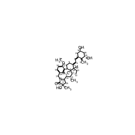 C=C1/C(=C\C=C2/CCC[C@]3(C)[C@@H]([C@H](C)CC4CC(C)(O)C(=O)N4Cc4ccc(OC)cc4)CC[C@@H]23)C[C@@H](O)C[C@@H]1O